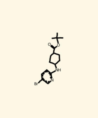 CC(C)(C)OC(=O)C1CCC(Nc2ccc(Br)cn2)CC1